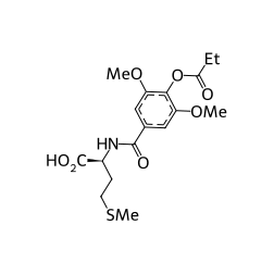 CCC(=O)Oc1c(OC)cc(C(=O)N[C@@H](CCSC)C(=O)O)cc1OC